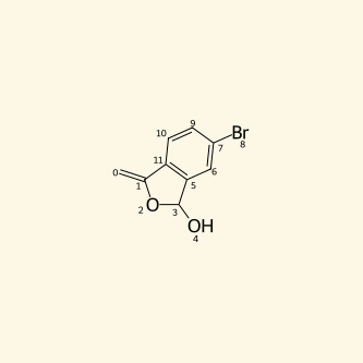 C=C1OC(O)c2cc(Br)ccc21